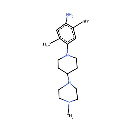 CCCc1cc(N2CCC(N3CCN(C)CC3)CC2)c(C)cc1N